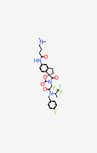 CC(N(Cc1ccc(F)cc1)C(=O)CN1C(=O)O[C@@]2(CCc3cc(NC(=O)CCCN(C)C)ccc32)C1=O)C(F)(F)F